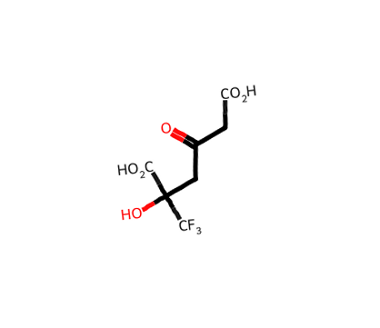 O=C(O)CC(=O)CC(O)(C(=O)O)C(F)(F)F